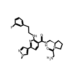 Cn1cc(-c2ccc(C(=O)NC[C@H]3CCCN3C(=O)CN)c(NCCc3cccc(F)c3)n2)cn1